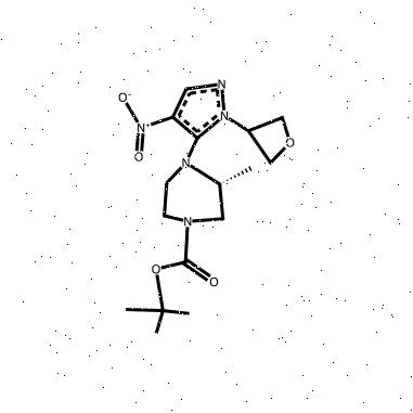 C[C@@H]1CN(C(=O)OC(C)(C)C)CCN1c1c([N+](=O)[O-])cnn1C1COC1